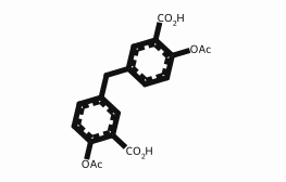 CC(=O)Oc1ccc(Cc2ccc(OC(C)=O)c(C(=O)O)c2)cc1C(=O)O